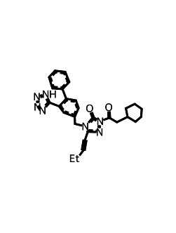 CCC#Cc1nn(C(=O)CC2CCCCC2)c(=O)n1Cc1ccc(-c2ccccc2)c(-c2nnn[nH]2)c1